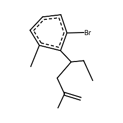 C=C(C)CC(CC)c1c(C)cccc1Br